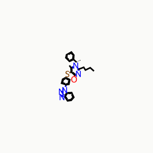 CCCCc1nc(=O)c(Sc2ccc(-n3nnc4ccccc43)cc2)c(C)n1[C@@H](C)c1ccccc1